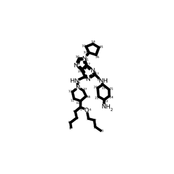 CCCCOC(CCCC)C1CCN(Nc2nc(NC3CCC(N)CC3)nc3c2ncn3C2CCCC2)CC1